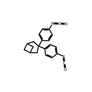 O=C=Nc1ccc(C2(c3ccc(N=C=O)cc3)CC3CC(C3)C2)cc1